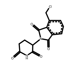 O=C1CCC(N2C(=O)c3cccc(CCl)c3C2=O)C(=O)N1